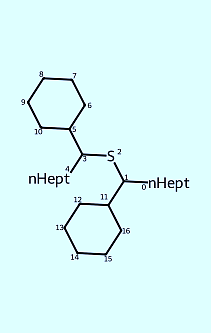 CCCCCCCC(SC(CCCCCCC)C1CCCCC1)C1CCCCC1